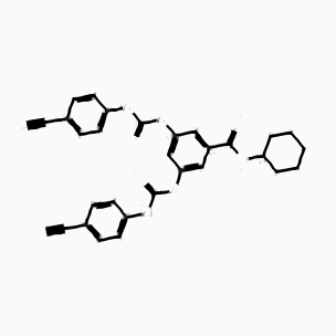 C#Cc1ccc(NC(=O)Nc2cc(NC(=O)Nc3ccc(C#C)cc3)cc(C(=O)OC3CCCCC3)c2)cc1